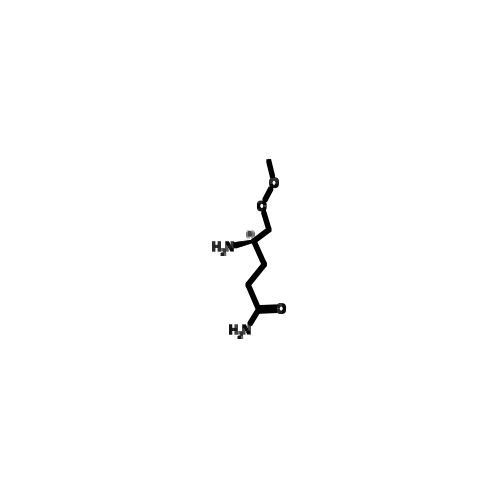 COOC[C@H](N)CCC(N)=O